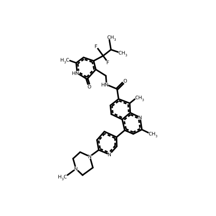 Cc1cc(-c2ccc(N3CCN(C)CC3)nc2)c2ccc(C(=O)NCc3c(C(F)(F)C(C)C)cc(C)[nH]c3=O)c(C)c2n1